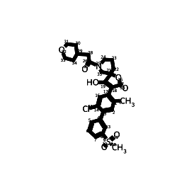 Cc1cc(-c2cccc(S(C)(=O)=O)c2)c(Cl)cc1C1=C(O)C2(CCCN(C(=O)CC3CCOCC3)C2)OC1=O